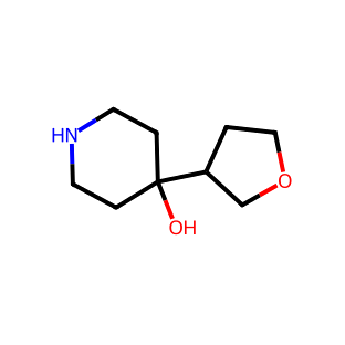 OC1(C2CCOC2)CCNCC1